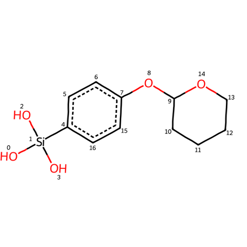 O[Si](O)(O)c1ccc(OC2CCCCO2)cc1